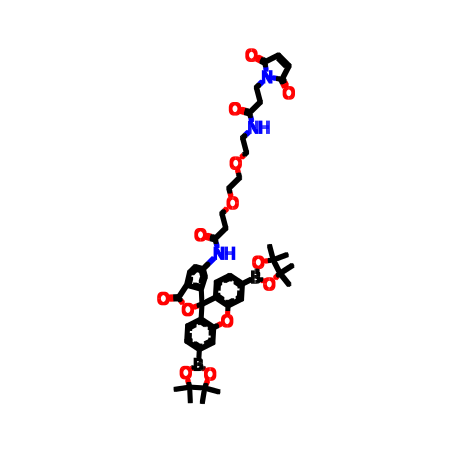 CC1(C)OB(c2ccc3c(c2)Oc2cc(B4OC(C)(C)C(C)(C)O4)ccc2C32OC(=O)c3ccc(NC(=O)CCOCCOCCNC(=O)CCN4C(=O)C=CC4=O)cc32)OC1(C)C